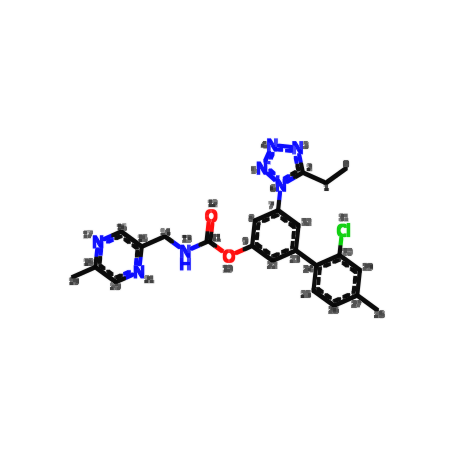 CCc1nnnn1-c1cc(OC(=O)NCc2cnc(C)cn2)cc(-c2ccc(C)cc2Cl)c1